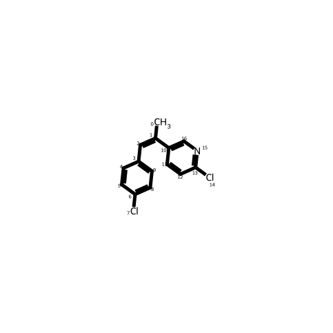 CC(=Cc1ccc(Cl)cc1)c1ccc(Cl)nc1